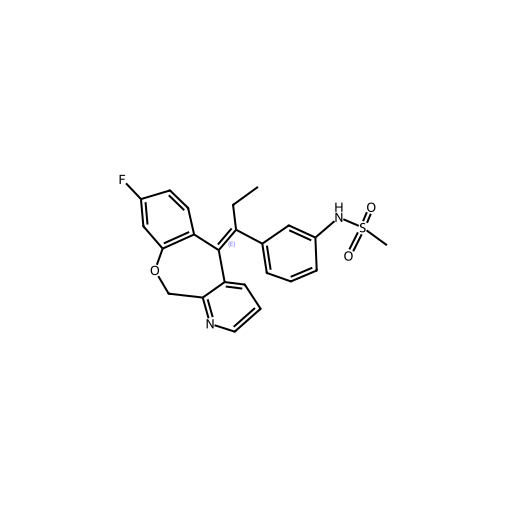 CC/C(=C1\c2ccc(F)cc2OCc2ncccc21)c1cccc(NS(C)(=O)=O)c1